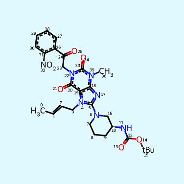 C/C=C/Cn1c(N2CCC[C@H](NC(=O)OC(C)(C)C)C2)nc2c1c(=O)n(CC(=O)c1ccccc1[N+](=O)[O-])c(=O)n2C